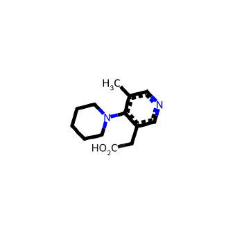 Cc1[c]ncc(CC(=O)O)c1N1CCCCC1